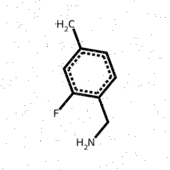 [CH2]c1ccc(CN)c(F)c1